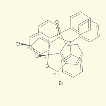 CC[C@@H]1O[C@@]2(O[C@@H](CC)c3cccc(P(=O)(c4ccccc4)c4ccccc4)c32)c2c1cccc2P(c1ccccc1)c1ccccc1